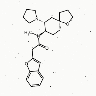 CN(C(=O)Cc1cc2ccccc2o1)[C@@H]1CC[C@@]2(CCCO2)C[C@H]1N1CCCC1